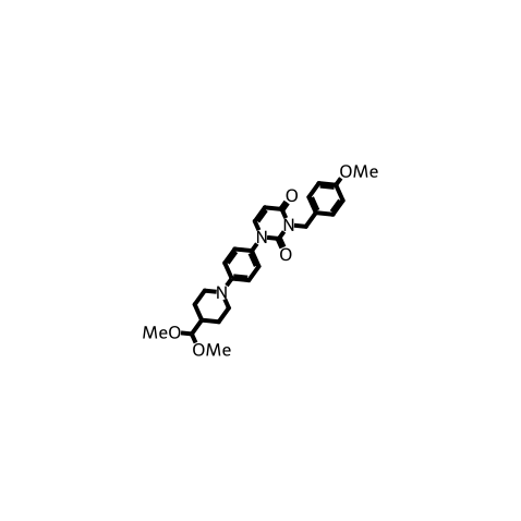 COc1ccc(Cn2c(=O)ccn(-c3ccc(N4CCC(C(OC)OC)CC4)cc3)c2=O)cc1